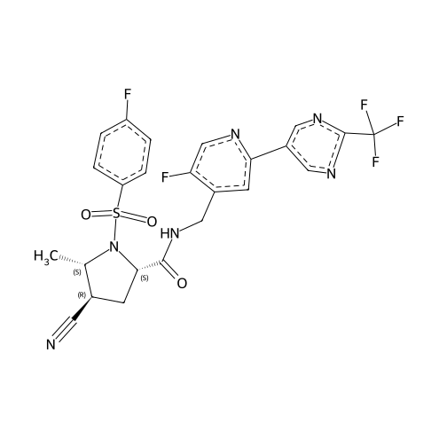 C[C@H]1[C@H](C#N)C[C@@H](C(=O)NCc2cc(-c3cnc(C(F)(F)F)nc3)ncc2F)N1S(=O)(=O)c1ccc(F)cc1